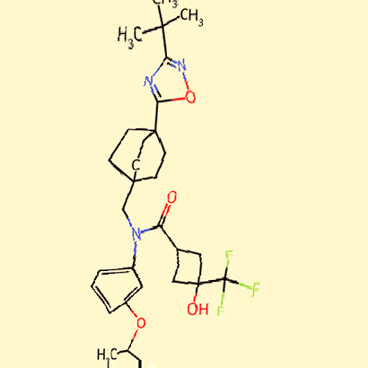 CC(C)Oc1cccc(N(CC23CCC(c4nc(C(C)(C)C)no4)(CC2)CC3)C(=O)C2CC(O)(C(F)(F)F)C2)c1